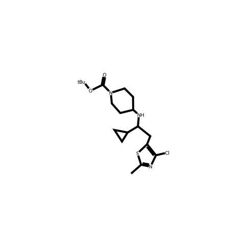 Cc1nc(Cl)c(CC(NC2CCN(C(=O)OC(C)(C)C)CC2)C2CC2)s1